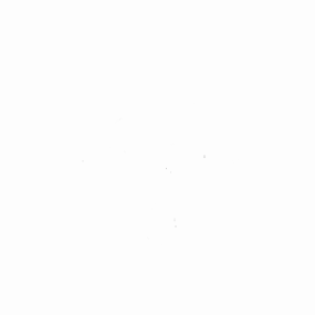 O=Cc1ccc(OCc2ccccc2)c(C(=O)N(Cc2ccccc2)Cc2ccccc2)c1